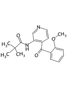 COc1ccccc1C(=O)c1ccncc1NC(=O)C(C)(C)C